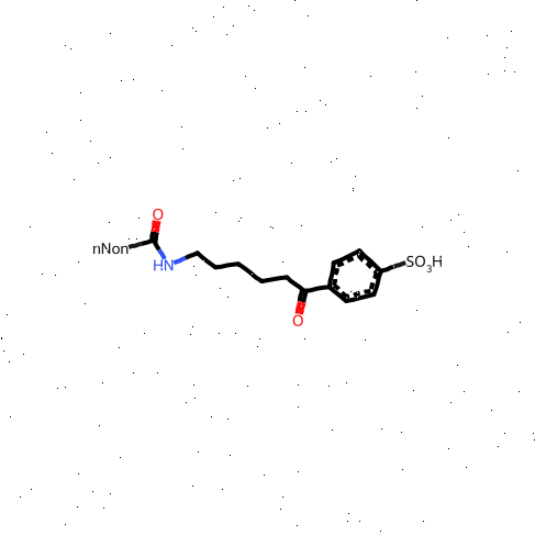 CCCCCCCCCC(=O)NCCCCCC(=O)c1ccc(S(=O)(=O)O)cc1